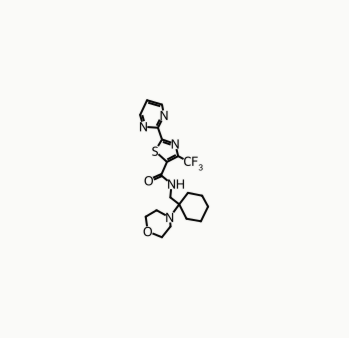 O=C(NCC1(N2CCOCC2)CCCCC1)c1sc(-c2ncccn2)nc1C(F)(F)F